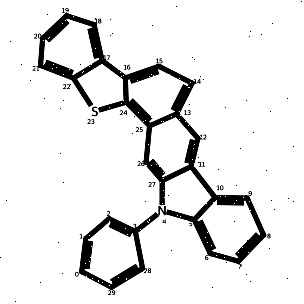 c1ccc(-n2c3ccccc3c3cc4ccc5c6ccccc6sc5c4cc32)cc1